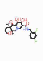 CC[C@]12CCCO[C@@H]1CN1C=C(C(=O)NCc3ccc(F)cc3F)C(O)C(O)=C1C2=O